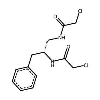 O=C(CCl)NC[C@@H](Cc1ccccc1)NC(=O)CCl